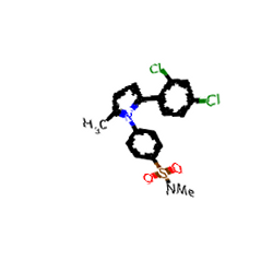 CNS(=O)(=O)c1ccc(-n2c(C)ccc2-c2ccc(Cl)cc2Cl)cc1